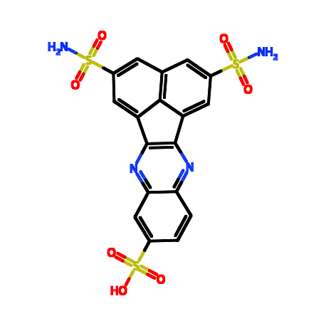 NS(=O)(=O)c1cc2c3c(cc(S(N)(=O)=O)cc3c1)-c1nc3cc(S(=O)(=O)O)ccc3nc1-2